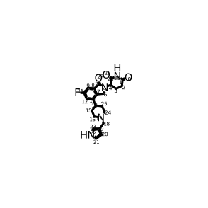 O=C1CCC(N2Cc3c(cc(F)cc3C3CCN(Cc4cc[nH]c4)CC3)C2=O)C(=O)N1